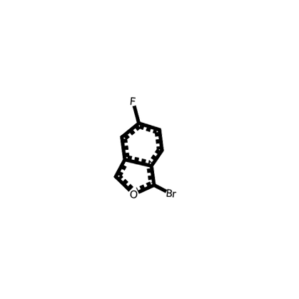 Fc1ccc2c(Br)occ2c1